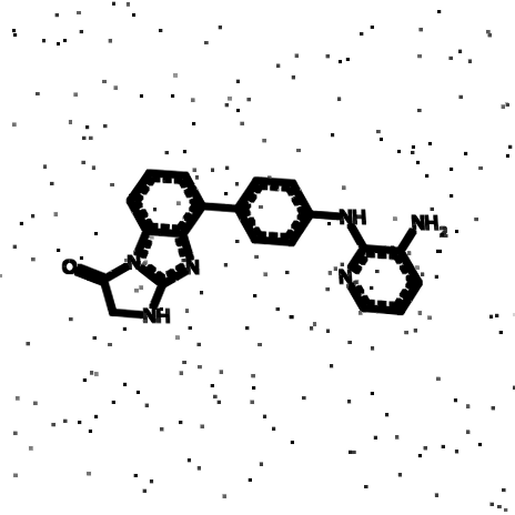 Nc1cccnc1Nc1ccc(-c2cccc3c2nc2n3C(=O)CN2)cc1